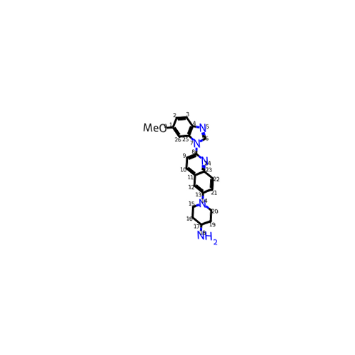 COc1ccc2ncn(-c3ccc4cc(N5CCC(N)CC5)ccc4n3)c2c1